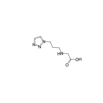 O=C(O)CNCCCn1ccnn1